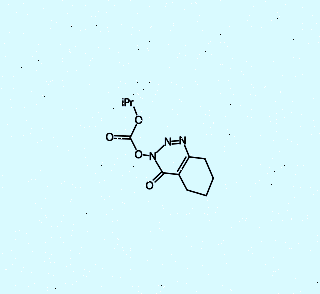 CC(C)OC(=O)On1nnc2c(c1=O)CCCC2